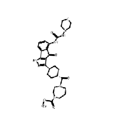 CC(C)(C)OC(=O)N1CCCN(C(=O)[C@H]2CC[C@H](c3n[nH]c4c3C(=O)c3c(NC(=O)NN5CCOCC5)cccc3-4)CC2)CC1